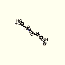 C[N+](C)(C)CC(=O)Nc1ccc(-n2cc(CNC(=O)CO/N=C/C(=O)NCCc3ccc(O)c(O)c3)nn2)cc1